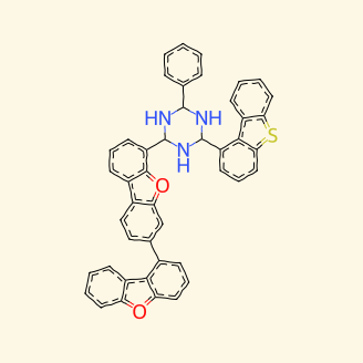 c1ccc(C2NC(c3cccc4c3oc3cc(-c5cccc6oc7ccccc7c56)ccc34)NC(c3cccc4sc5ccccc5c34)N2)cc1